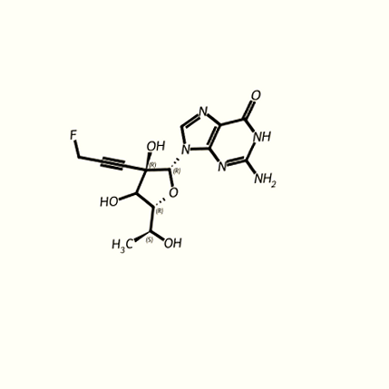 C[C@H](O)[C@H]1O[C@@H](n2cnc3c(=O)[nH]c(N)nc32)[C@@](O)(C#CCF)C1O